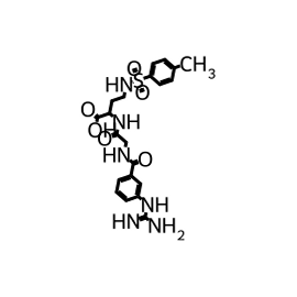 Cc1ccc(S(=O)(=O)NCCC(NC(=O)CNC(=O)c2cccc(NC(=N)N)c2)C(=O)O)cc1